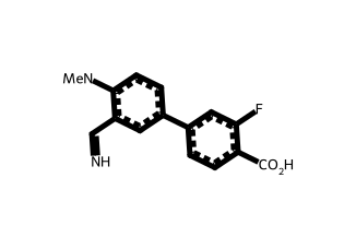 CNc1ccc(-c2ccc(C(=O)O)c(F)c2)cc1C=N